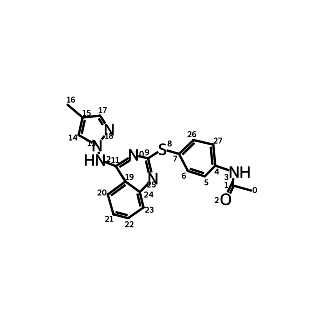 CC(=O)Nc1ccc(Sc2nc(Nn3cc(C)cn3)c3ccccc3n2)cc1